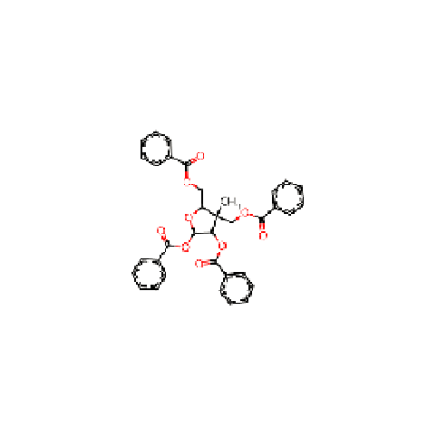 CC1(COC(=O)c2ccccc2)C(COC(=O)c2ccccc2)OC(OC(=O)c2ccccc2)C1OC(=O)c1ccccc1